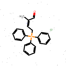 C/C(C=O)=C/C[P+](c1ccccc1)(c1ccccc1)c1ccccc1.[Cl-]